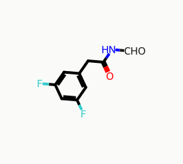 O=CNC(=O)Cc1cc(F)cc(F)c1